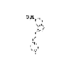 CN1CCN(CCCn2ccc3ccc([N+](=O)[O-])cc32)CC1